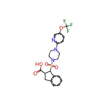 O=C(O)C1Cc2ccccc2C1S(=O)(=O)N1CCN(c2ccc(OC(F)(F)F)cn2)CC1